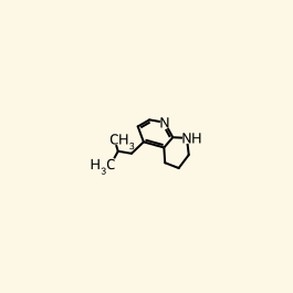 CC(C)Cc1ccnc2c1CCCN2